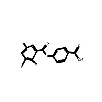 O=C(O)c1ccc(OC(=O)c2cc(I)cc(I)c2I)cc1